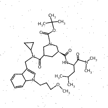 COCCCN1C=C(CN(C(=O)C2C[C@H](C(=O)NC(CC(C)C)C(=O)N(C)C)CN(C(=O)OC(C)(C)C)C2)C2CC2)C2C=CC=CC21